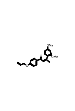 C=CCOc1ccc(C(=O)C=C(C)c2ccc(OC)cc2OC)cc1